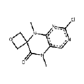 CN1C(=O)C2(COC2)N(C)c2nc(Cl)ncc21